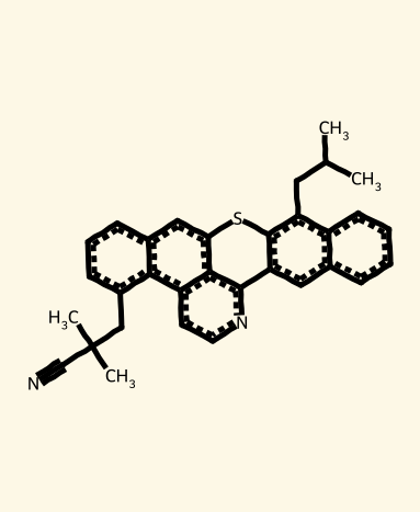 CC(C)Cc1c2c(cc3ccccc13)-c1nccc3c1c(cc1cccc(CC(C)(C)C#N)c13)S2